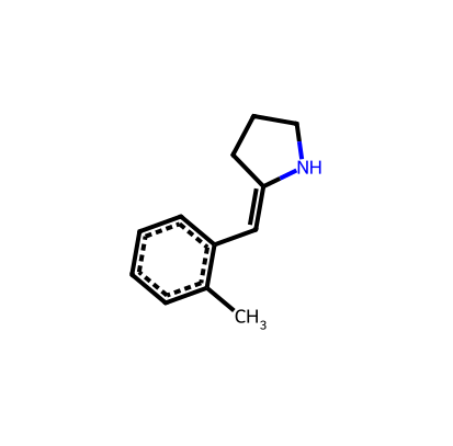 Cc1ccccc1C=C1CCCN1